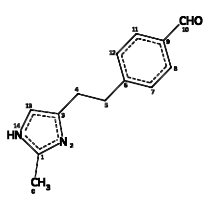 Cc1nc(CCc2ccc(C=O)cc2)c[nH]1